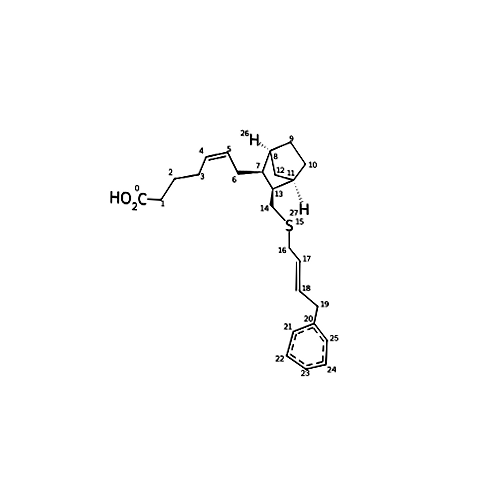 O=C(O)CCC/C=C\C[C@H]1[C@H]2CC[C@H](C2)[C@H]1CSC/C=C/Cc1ccccc1